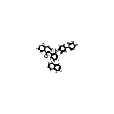 Oc1c(-c2cc(-c3cccc4ccccc34)ccc2Nc2ccc(-c3ccccc3)cc2)ccc2ccccc12